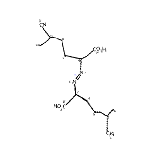 CC(C#N)CCC(/N=N/C(CCC(C)C#N)C(=O)O)C(=O)O